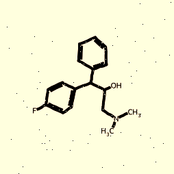 CN(C)CC(O)C(c1ccccc1)c1ccc(F)cc1